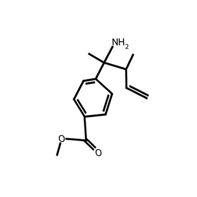 C=CC(C)C(C)(N)c1ccc(C(=O)OC)cc1